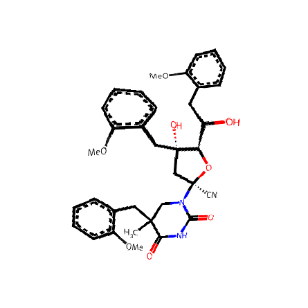 COc1ccccc1CC(O)[C@H]1O[C@@](C#N)(N2CC(C)(Cc3ccccc3OC)C(=O)NC2=O)C[C@@]1(O)Cc1ccccc1OC